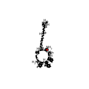 CC(C)C[C@H]1NC(=O)[C@@H](CC(N)=O)NC(=O)[C@@H](NC(=O)COCCOCCOCCNC(=O)CCCCC2SC[C@H]3NC(=O)N[C@@H]23)Cc2cn(nn2)CCCC[C@@H](C(N)=O)NC(=O)[C@@H](Cc2ccc(F)cc2)NC(=O)[C@@H](Cc2cn(C)c3ccccc23)NC(=O)[C@@H](Cc2ccccc2)NC1=O